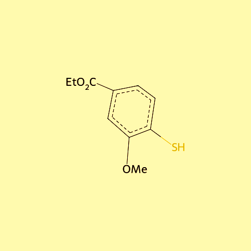 CCOC(=O)c1ccc(S)c(OC)c1